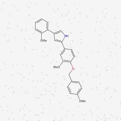 COc1ccc(COc2ccc(-c3cc(-c4ccccc4OC)c[nH]3)cc2OC)cc1